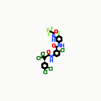 O=C(Nc1ccc(F)c(NC(=O)C(F)(F)F)c1)c1cc(NC(=O)C2[C@H](c3ccc(Cl)c(Cl)c3)C2(Cl)Cl)ccc1Cl